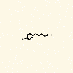 CC(=O)c1ccc(SCCCO)cc1